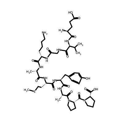 CSCC[C@H](NC(=O)[C@H](C)NC(=O)[C@H](CCCCN)NC(=O)CNC(=O)[C@@H](NC(=O)[C@@H](N)CCC(=O)O)C(C)C)C(=O)N[C@@H](Cc1ccc(O)cc1)C(=O)N[C@@H](C)C(=O)N1CCC[C@H]1C(=O)N1CCC[C@H]1C(=O)O